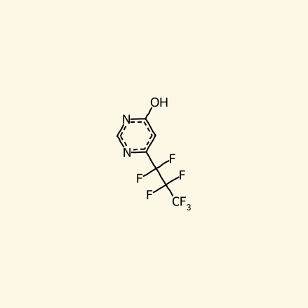 Oc1cc(C(F)(F)C(F)(F)C(F)(F)F)ncn1